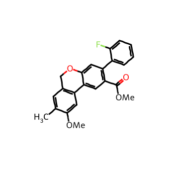 COC(=O)c1cc2c(cc1-c1ccccc1F)OCc1cc(C)c(OC)cc1-2